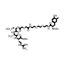 CNC(=O)[C@H](CCNC(=N)N)NC(=O)[C@H](C)NC(=O)[C@H](CC(=O)O)OC(=O)COCC(=O)NCCOCCOCCNC(=O)[C@H](CC1=CC=C(O)C(I)C1)NC(C)=O